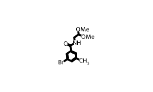 COC(CNC(=O)c1cc(C)cc(Br)c1)OC